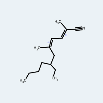 CCCCC(CC)C/C(C)=C\C=C(/C)C#N